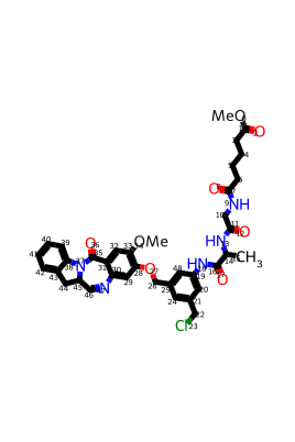 COC(=O)CCCCC(=O)NCC(=O)NC(C)C(=O)Nc1cc(CCl)cc(COc2cc3c(cc2OC)C(=O)N2c4ccccc4CC2C=N3)c1